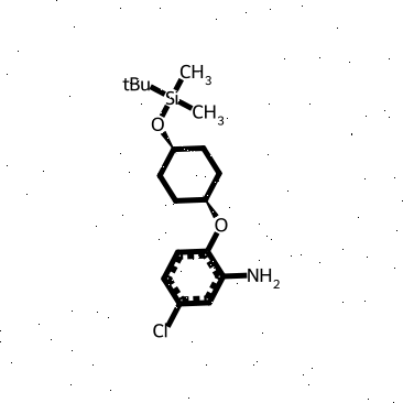 CC(C)(C)[Si](C)(C)O[C@H]1CC[C@@H](Oc2ccc(Cl)cc2N)CC1